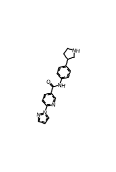 O=C(Nc1ccc(C2CCNC2)cc1)c1ccc(-n2cccn2)nc1